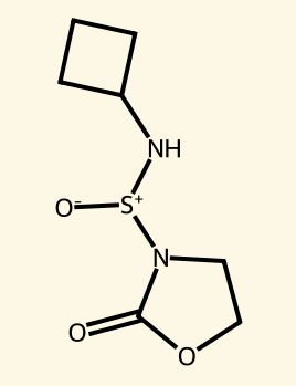 O=C1OCCN1[S+]([O-])NC1CCC1